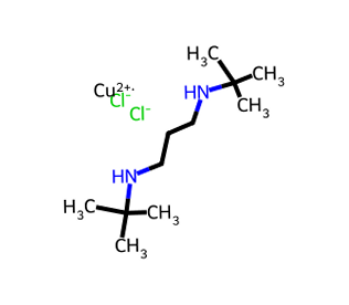 CC(C)(C)NCCCNC(C)(C)C.[Cl-].[Cl-].[Cu+2]